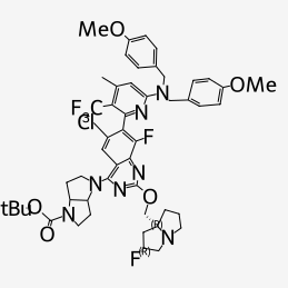 COc1ccc(CN(Cc2ccc(OC)cc2)c2cc(C)c(C(F)(F)F)c(-c3c(Cl)cc4c(N5CCC6C5CCN6C(=O)OC(C)(C)C)nc(OC[C@]56CCCN5C[C@H](F)C6)nc4c3F)n2)cc1